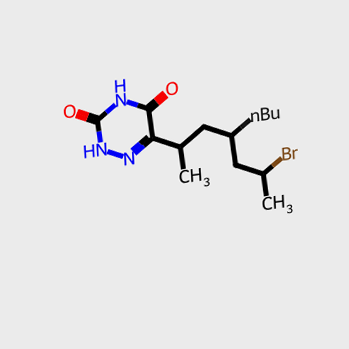 CCCCC(CC(C)Br)CC(C)c1n[nH]c(=O)[nH]c1=O